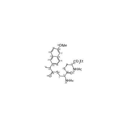 CCOC(=O)C(CSC(=O)C(CSC(=O)C(C)c1ccc2cc(OC)ccc2c1)NC(C)=O)NC(C)=O